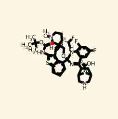 CN1CC[C@H](C(F)F)[C@](C)(COC2(c3cccc4sc(NC(=O)OC(C)(C)C)c(C#N)c34)N=C(C3CC4CNCC3N4C(=O)O)c3cc(F)cc(F)c3N2)C1